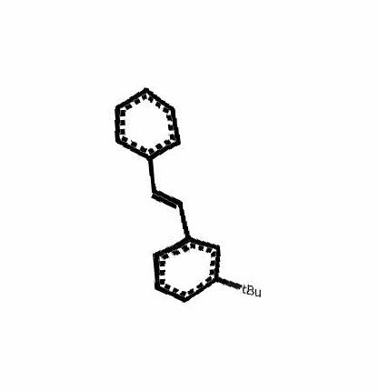 CC(C)(C)c1cccc(/C=C/c2ccccc2)c1